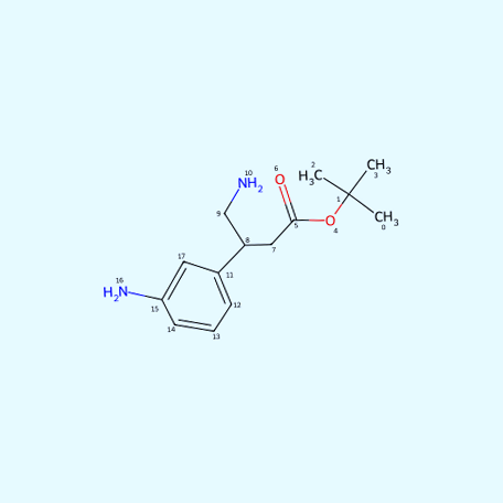 CC(C)(C)OC(=O)CC(CN)c1cccc(N)c1